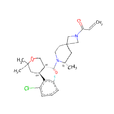 C=CC(=O)N1CC2(CCN(C(=O)[C@H]3COC(C)(C)C[C@@H]3c3c(F)cccc3Cl)[C@@H](C)C2)C1